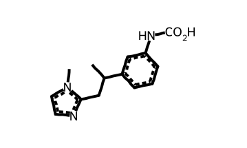 CC(Cc1nccn1C)c1cccc(NC(=O)O)c1